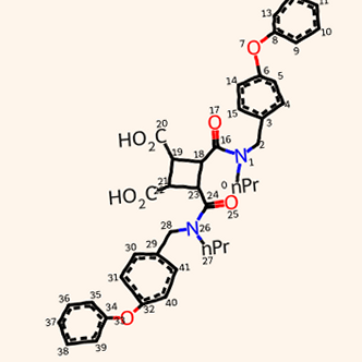 CCCN(Cc1ccc(Oc2ccccc2)cc1)C(=O)C1C(C(=O)O)C(C(=O)O)C1C(=O)N(CCC)Cc1ccc(Oc2ccccc2)cc1